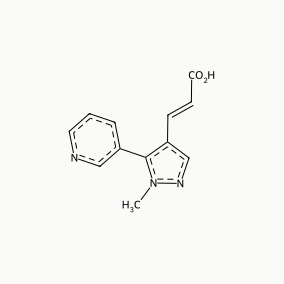 Cn1ncc(/C=C/C(=O)O)c1-c1cccnc1